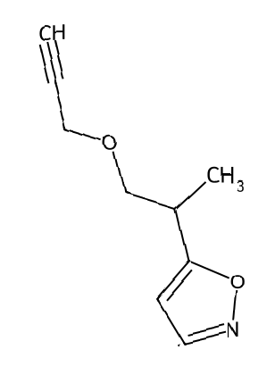 C#CCOCC(C)c1c[c]no1